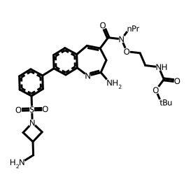 CCCN(OCCNC(=O)OC(C)(C)C)C(=O)C1=Cc2ccc(-c3cccc(S(=O)(=O)N4CC(CN)C4)c3)cc2N=C(N)C1